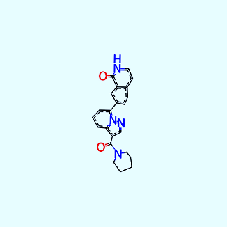 O=C(c1cnn2c(-c3ccc4cc[nH]c(=O)c4c3)cccc12)N1CCCCC1